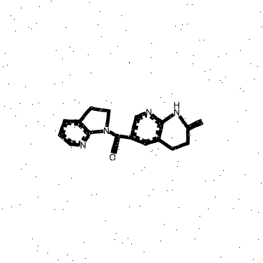 C=C1CCc2cc(C(=O)N3CCc4cccnc43)cnc2N1